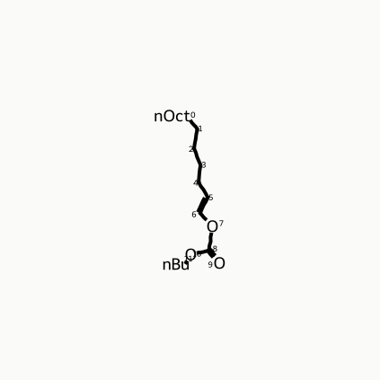 CCCCCCCCCCCCC=COC(=O)OCCCC